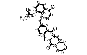 O=C(c1cc(Cn2ncc(=O)c3cccc(OC(=O)C(F)(F)F)c32)ccc1F)N1CC(=O)N2CCOCC2C1